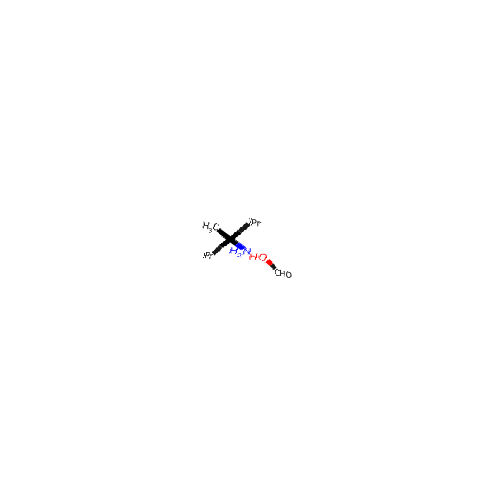 CC(C)C(C)(N)C(C)C.O=CO